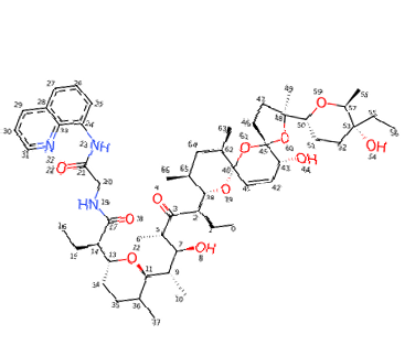 CC[C@@H](C(=O)[C@@H](C)[C@@H](O)[C@H](C)[C@@H]1O[C@@H]([C@@H](CC)C(=O)NCC(=O)Nc2cccc3cccnc23)CCC1C)[C@H]1O[C@]2(C=C[C@@H](O)[C@]3(CC[C@@](C)([C@H]4CC[C@](O)(CC)[C@H](C)O4)O3)O2)[C@H](C)C[C@@H]1C